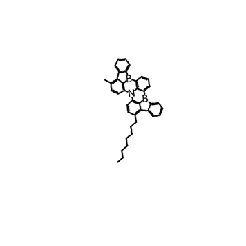 CCCCCCCCc1ccc2c3c1-c1ccccc1B3c1cccc3c1N2c1ccc(C)c2c1B3c1ccccc1-2